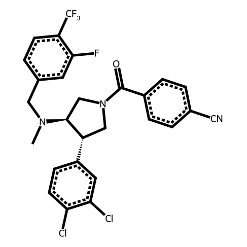 CN(Cc1ccc(C(F)(F)F)c(F)c1)[C@H]1CN(C(=O)c2ccc(C#N)cc2)C[C@@H]1c1ccc(Cl)c(Cl)c1